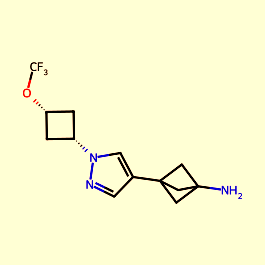 NC12CC(c3cnn([C@H]4C[C@@H](OC(F)(F)F)C4)c3)(C1)C2